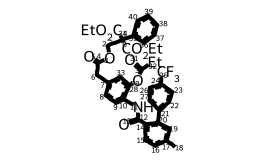 CCOC(=O)C(COC(=O)Cc1ccc(NC(=O)c2ccc(C)cc2-c2ccc(C(F)(F)F)cc2)c(OC(=O)CC)c1)(C(=O)OCC)c1ccccc1